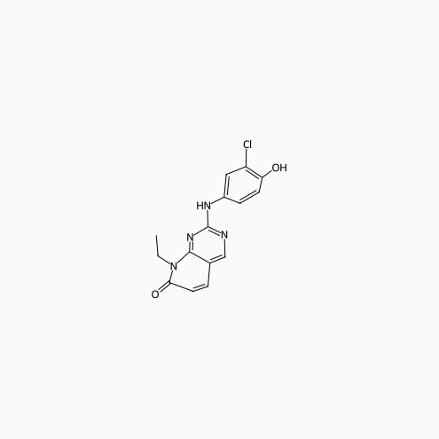 CCn1c(=O)ccc2cnc(Nc3ccc(O)c(Cl)c3)nc21